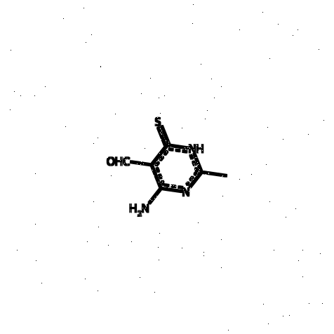 Cc1nc(N)c(C=O)c(=S)[nH]1